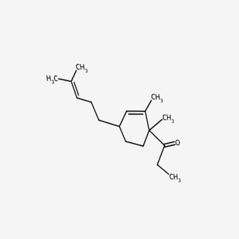 CCC(=O)C1(C)CCC(CCC=C(C)C)C=C1C